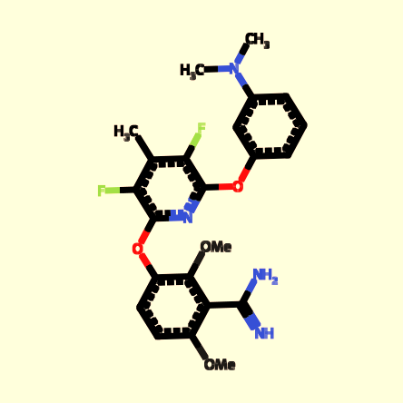 COc1ccc(Oc2nc(Oc3cccc(N(C)C)c3)c(F)c(C)c2F)c(OC)c1C(=N)N